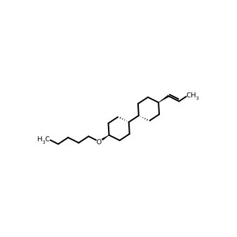 CC=C[C@H]1CC[C@H]([C@H]2CC[C@H](OCCCCC)CC2)CC1